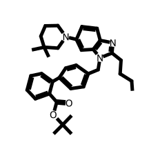 CCCCc1nc2ccc(N3CCCC(C)(C)C3)cc2n1Cc1ccc(-c2ccccc2C(=O)OC(C)(C)C)cc1